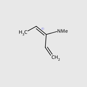 C=C/C(=C\C)NC